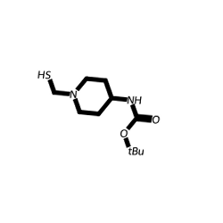 CC(C)(C)OC(=O)NC1CCN(CS)CC1